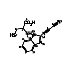 N#CC#N.NC(CS)C(=O)O.c1ccc2scnc2c1